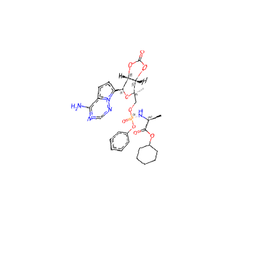 C[C@H](N[P@](=O)(OC[C@@]1(C)O[C@@H](c2ccc3c(N)ncnn23)[C@@H]2OC(=O)O[C@@H]21)Oc1ccccc1)C(=O)OC1CCCCC1